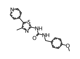 COc1ccc(CNC(=O)Nc2nc(C)c(-c3ccncc3)s2)cc1